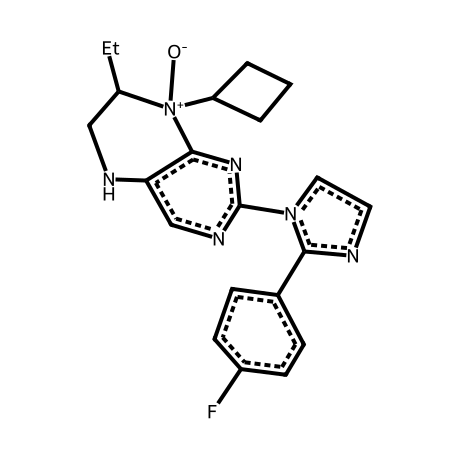 CCC1CNc2cnc(-n3ccnc3-c3ccc(F)cc3)nc2[N+]1([O-])C1CCC1